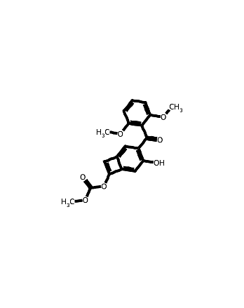 COC(=O)OC1=Cc2cc(C(=O)c3c(OC)cccc3OC)c(O)cc21